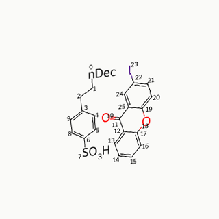 CCCCCCCCCCCCc1ccc(S(=O)(=O)O)cc1.O=c1c2ccccc2oc2ccc(I)cc12